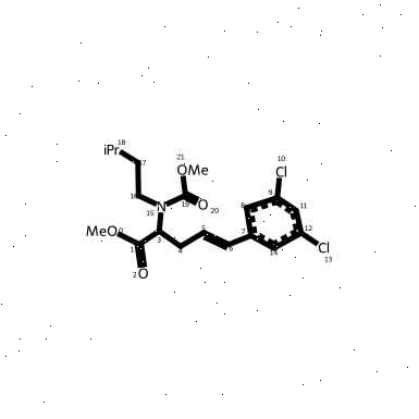 COC(=O)C(CC=Cc1cc(Cl)cc(Cl)c1)N(CCC(C)C)C(=O)OC